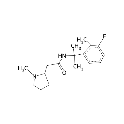 Cc1c(F)cccc1C(C)(C)NC(=O)CC1CCCN1C